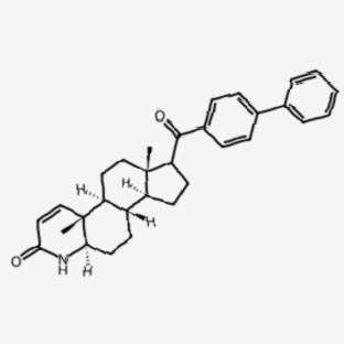 C[C@]12C=CC(=O)N[C@@H]1CC[C@@H]1[C@@H]2CC[C@]2(C)C(C(=O)c3ccc(-c4ccccc4)cc3)CC[C@@H]12